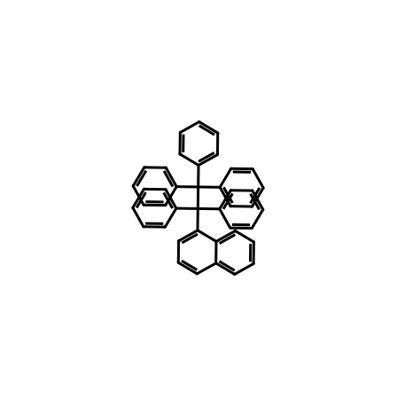 c1ccc(C(c2ccccc2)(c2ccccc2)C(c2ccccc2)(c2ccccc2)c2cccc3ccccc23)cc1